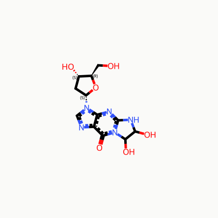 O=c1c2ncn([C@@H]3C[C@H](O)[C@@H](CO)O3)c2nc2n1C(O)C(O)N2